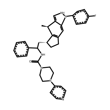 C[C@H]1C2=CNN(c3ccc(F)cc3)C2=CC2=C1[C@@H](CC(NC(=O)N1CCN(c3ccncc3)CC1)c1ccccc1)CC2